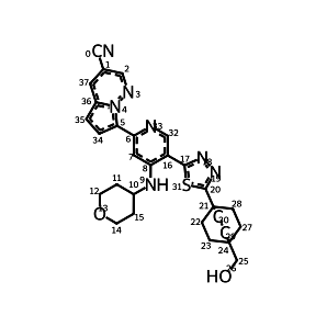 N#Cc1cnn2c(-c3cc(NC4CCOCC4)c(-c4nnc(C56CCC(CO)(CC5)CC6)s4)cn3)ccc2c1